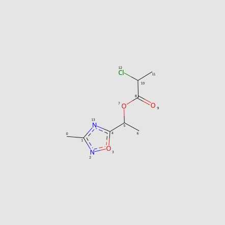 Cc1noc(C(C)OC(=O)C(C)Cl)n1